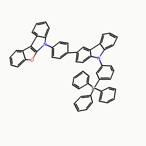 c1ccc([Si](c2ccccc2)(c2ccccc2)c2cccc(-n3c4ccccc4c4cc(-c5ccc(-n6c7ccccc7c7c8ccccc8oc76)cc5)ccc43)c2)cc1